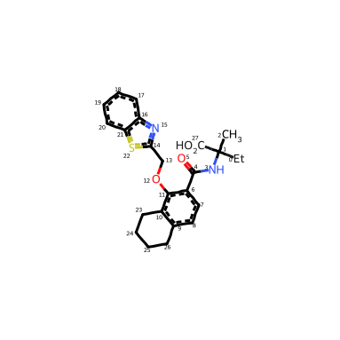 CCC(C)(NC(=O)c1ccc2c(c1OCc1nc3ccccc3s1)CCCC2)C(=O)O